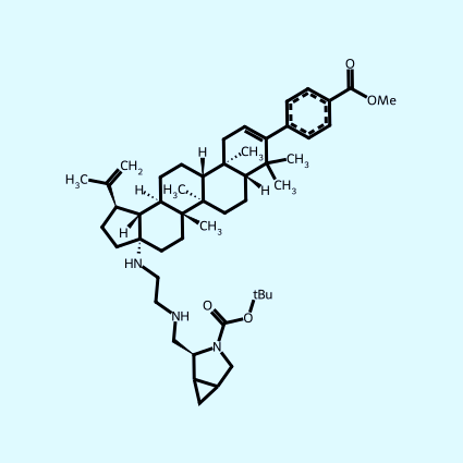 C=C(C)[C@@H]1CC[C@]2(NCCNC[C@@H]3C4CC4CN3C(=O)OC(C)(C)C)CC[C@]3(C)[C@H](CC[C@@H]4[C@@]5(C)CC=C(c6ccc(C(=O)OC)cc6)C(C)(C)[C@@H]5CC[C@]43C)[C@@H]12